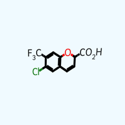 O=C(O)C1C=Cc2cc(Cl)c(C(F)(F)F)cc2O1